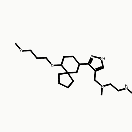 CNCCN(C)Cc1c[nH]nc1C1CCC(OCCCOC)C2(CCCC2)C1